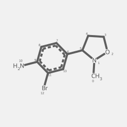 CN1OCCC1c1ccc(N)c(Br)c1